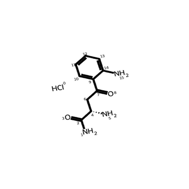 Cl.NC(=O)[C@@H](N)CC(=O)c1ccccc1N